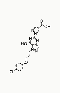 O=C(O)c1cnn(-c2nc(O)c3c(cnn3CCCOc3ccc(Cl)cc3)n2)c1